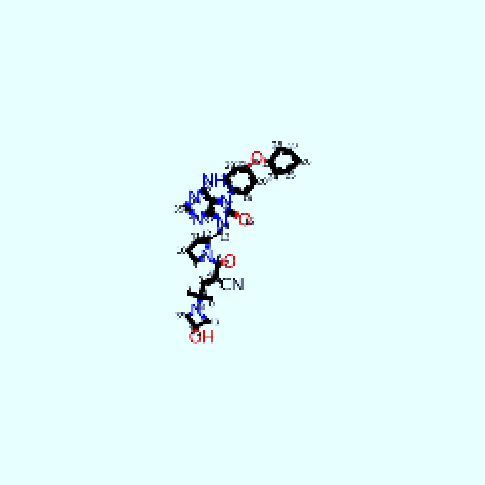 CC(C)(C=C(C#N)C(=O)N1CCC[C@H]1Cn1c(=O)n(-c2ccc(Oc3ccccc3)cc2)c2c(N)ncnc21)N1CC(O)C1